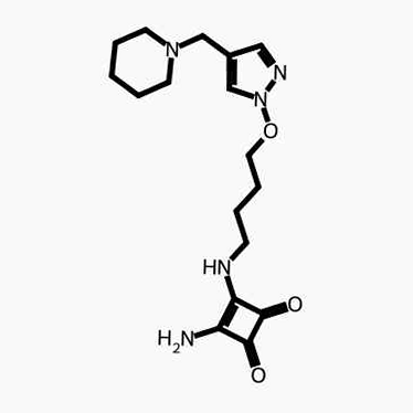 Nc1c(NCCCCOn2cc(CN3CCCCC3)cn2)c(=O)c1=O